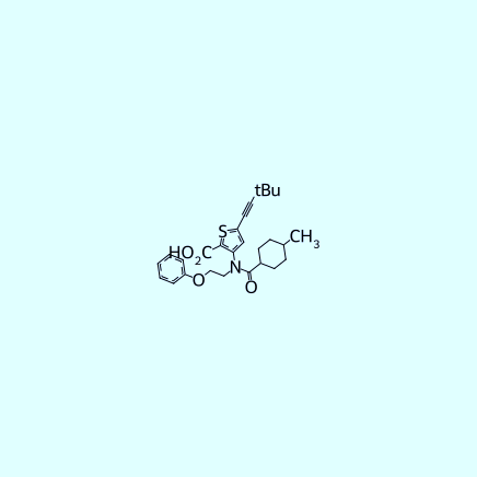 CC1CCC(C(=O)N(CCOc2ccccc2)c2cc(C#CC(C)(C)C)sc2C(=O)O)CC1